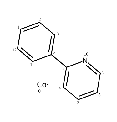 [Co].c1ccc(-c2ccccn2)cc1